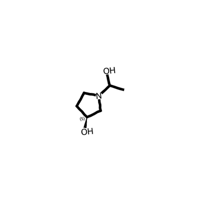 CC(O)N1CC[C@H](O)C1